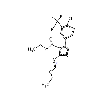 CCO/C=N/c1scc(-c2ccc(Cl)c(C(F)(F)F)c2)c1C(=O)OCC